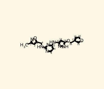 Cc1cc(CNc2nccc(Nc3cc(OCc4ccoc4)[nH]n3)n2)on1